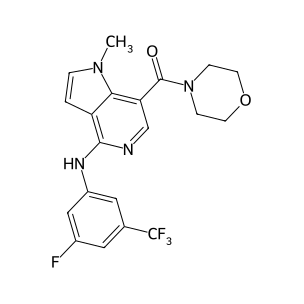 Cn1ccc2c(Nc3cc(F)cc(C(F)(F)F)c3)ncc(C(=O)N3CCOCC3)c21